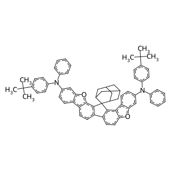 CC(C)(C)c1ccc(N(c2ccccc2)c2ccc3c(c2)oc2c4c(ccc23)-c2ccc3oc5cc(N(c6ccccc6)c6ccc(C(C)(C)C)cc6)ccc5c3c2C42C3CC4CC(C3)CC2C4)cc1